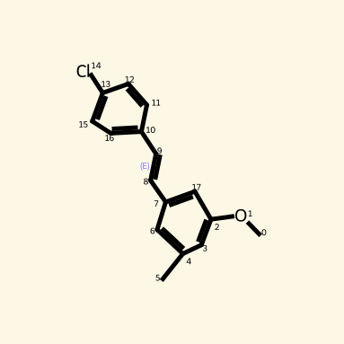 COc1cc(C)cc(/C=C/c2ccc(Cl)cc2)c1